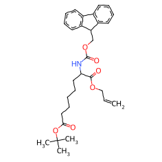 C=CCOC(=O)C(CCCCCC(=O)OC(C)(C)C)NC(=O)OCC1c2ccccc2-c2ccccc21